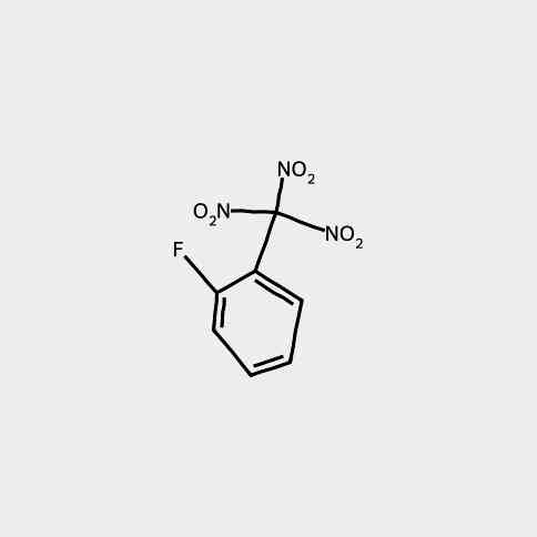 O=[N+]([O-])C(c1ccccc1F)([N+](=O)[O-])[N+](=O)[O-]